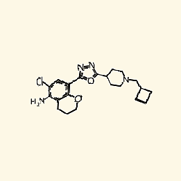 Nc1c(Cl)cc(-c2nnc(C3CCN(CC4CCC4)CC3)o2)c2c1CCCO2